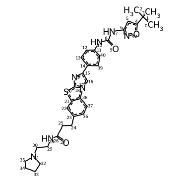 CC(C)(C)c1cc(NC(=O)Nc2ccc(-c3cn4c(n3)sc3cc(CCC(=O)NCCN5CCCC5)ccc34)cc2)no1